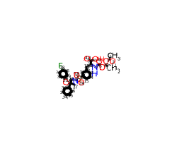 CC(=O)O[C@H](C)OC(=O)N[C@@H](Cc1cccc(S(=O)(=O)N2CC(Oc3ccc(F)cc3)(c3ccccc3)C2)c1)C(=O)O